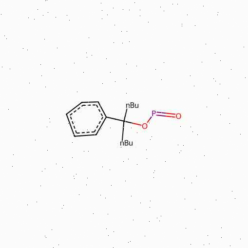 CCCCC(CCCC)(OP=O)c1ccccc1